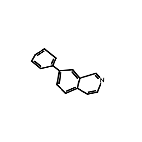 c1ccc(-c2ccc3ccncc3c2)cc1